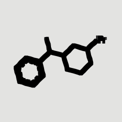 CC(C)C1CCCC(C(C)c2ccccc2)C1